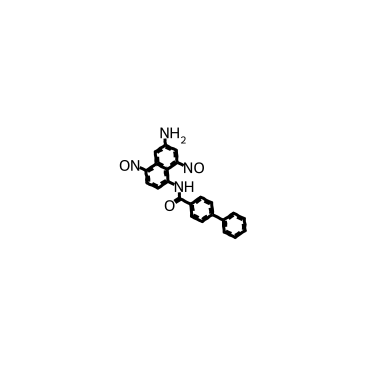 Nc1cc(N=O)c2c(NC(=O)c3ccc(-c4ccccc4)cc3)ccc(N=O)c2c1